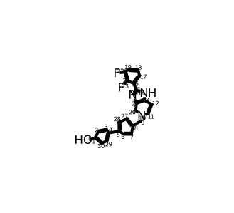 Oc1ccc(-c2ccc(CN3C=Cc4[nH]c(-c5cccc(F)c5F)nc4C3)cc2)cc1